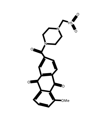 COc1cccc2c1C(=O)c1ccc(C(=O)N3CCN(C[SH](=O)=O)CC3)cc1C2=O